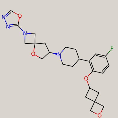 Fc1ccc(OC2CC3(COC3)C2)c(C2CCN([C@H]3COC4(C3)CN(c3nnco3)C4)CC2)c1